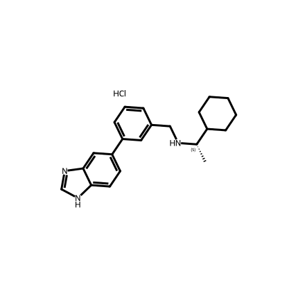 C[C@H](NCc1cccc(-c2ccc3[nH]cnc3c2)c1)C1CCCCC1.Cl